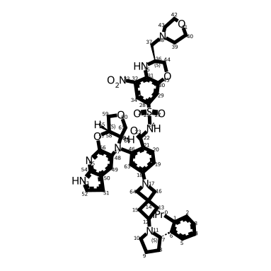 CC(C)c1ccccc1[C@@H]1CCCN1C1CC2(C1)CN(c1ccc(C(=O)NS(=O)(=O)c3cc4c(c([N+](=O)[O-])c3)N[C@@H](CN3CCOCC3)CO4)c(N3c4cc5cc[nH]c5nc4O[C@@H]4COC[C@H]43)c1)C2